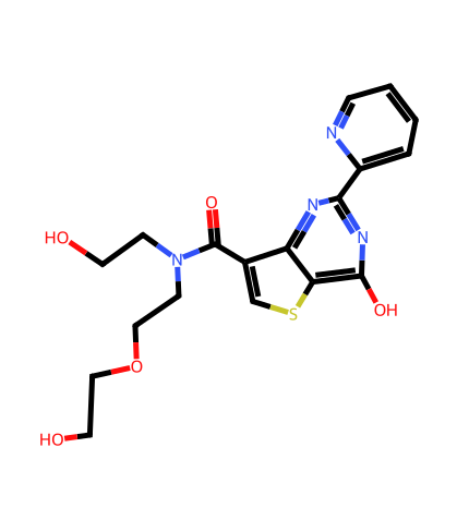 O=C(c1csc2c(O)nc(-c3ccccn3)nc12)N(CCO)CCOCCO